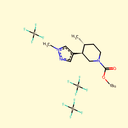 C[C@@H]1CCN(C(=O)OC(C)(C)C)C[C@H]1c1cnn(C)c1.F[B-](F)(F)F.F[B-](F)(F)F.F[B-](F)(F)F